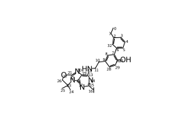 CCc1cccc(-c2cc(CCNc3nc(I)nc4c3nc3n4C(C)(C)CO3)ccc2O)c1